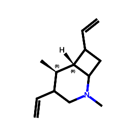 C=CC1CC2[C@@H]1[C@H](C)C(C=C)CN2C